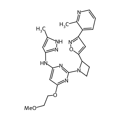 COCCOc1cc(Nc2cc(C)[nH]n2)nc(N2CCC2c2cc(-c3cccnc3C)no2)n1